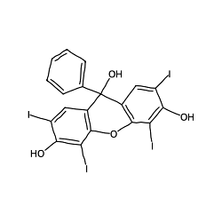 Oc1c(I)cc2c(c1I)Oc1c(cc(I)c(O)c1I)C2(O)c1ccccc1